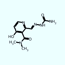 CN(C)C(=O)c1c(O)ccnc1C=NNC(N)=O